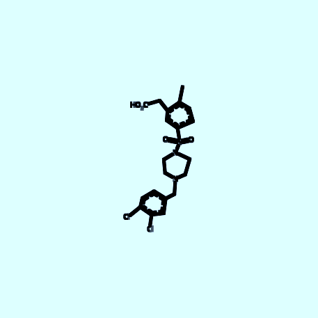 Cc1ccc(S(=O)(=O)N2CCN(Cc3ccc(Cl)c(Cl)c3)CC2)cc1CC(=O)O